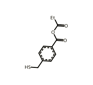 CCC(=O)OC(=O)c1ccc(CS)cc1